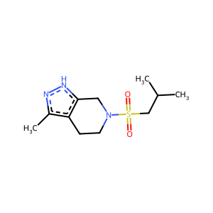 Cc1n[nH]c2c1CCN(S(=O)(=O)CC(C)C)C2